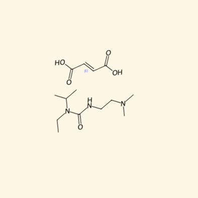 CCN(C(=O)NCCN(C)C)C(C)C.O=C(O)/C=C/C(=O)O